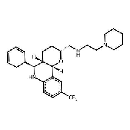 FC(F)(F)c1ccc2c(c1)[C@H]1O[C@@H](CNCCN3CCCCC3)CC[C@H]1[C@H](C1C=CC=CC1)N2